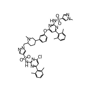 Cc1cccc(C)c1-c1cc(Cl)nc(NS(=O)(=O)c2cnn(CC3CCC(c4cccc(Oc5cc(-c6c(C)cccc6C)nc(NS(=O)(=O)c6cnn(C)c6)n5)c4)CN3C)c2)n1